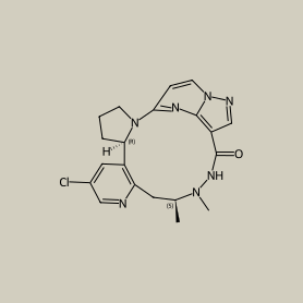 C[C@H]1Cc2ncc(Cl)cc2[C@H]2CCCN2c2ccn3ncc(c3n2)C(=O)NN1C